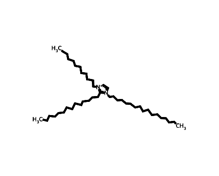 CCCCCCCCCCCCCCCCCn1cc[n+](CCCCCCCCCCCC)c1CCCCCCCCCCCCCC